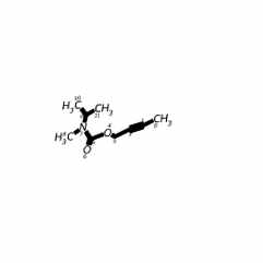 CC#CCOC(=O)N(C)C(C)C